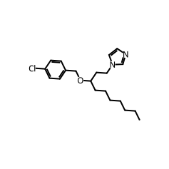 CCCCCCCC(CCn1ccnc1)OCc1ccc(Cl)cc1